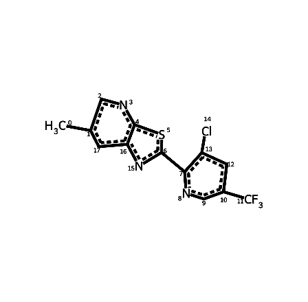 Cc1cnc2sc(-c3ncc(C(F)(F)F)cc3Cl)nc2c1